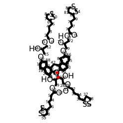 O=C(CCCCC1CCSS1)OCC(O)COc1ccc2ccc(OCC(O)COC(=O)CCCCC3CCSS3)c(Cc3c(OCC(O)COC(=O)CCCCC4CCSS4)ccc4ccc(OCC(O)COC(=O)CCCCC5CCSS5)cc34)c2c1